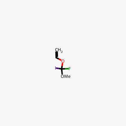 C=COC(F)(I)OC